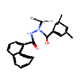 CCC[C@@H](N(NC(=O)c1cccc2ccccc12)C(O)c1cc(C)cc(C)c1)C(C)(C)C